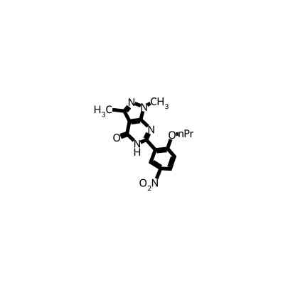 CCCOc1ccc([N+](=O)[O-])cc1-c1nc2c(c(C)nn2C)c(=O)[nH]1